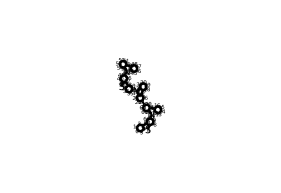 c1ccc2c(c1)sc1ccc(-n3c4ccccc4c4cc(-c5ccc6c(c5)c5ccccc5n6-c5ccc6sc7ccc(-n8c9ccccc9c9ccccc98)cc7c6c5)ccc43)cc12